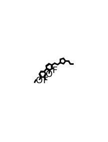 CCCC1CCC(CCc2ccc3c(oc4c(F)c(OCC)ccc43)c2F)C1